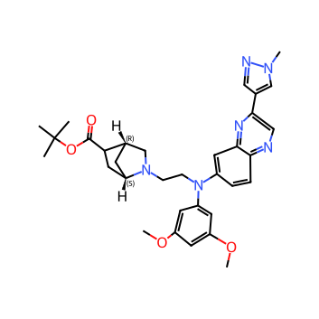 COc1cc(OC)cc(N(CCN2C[C@@H]3C[C@H]2CC3C(=O)OC(C)(C)C)c2ccc3ncc(-c4cnn(C)c4)nc3c2)c1